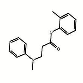 Cc1ccccc1OC(=O)CCN(C)c1ccccc1